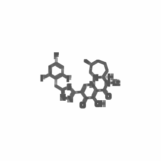 CCN1C(=O)c2c(O)c(=O)c(-c3nnc(Cc4c(F)cc(F)cc4F)s3)cn2N2C[C@@H](C)CCC[C@@H]12